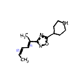 C/C=C\C=C(/C)c1noc(C2CCBCC2)n1